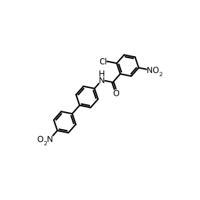 O=C(Nc1ccc(-c2ccc([N+](=O)[O-])cc2)cc1)c1cc([N+](=O)[O-])ccc1Cl